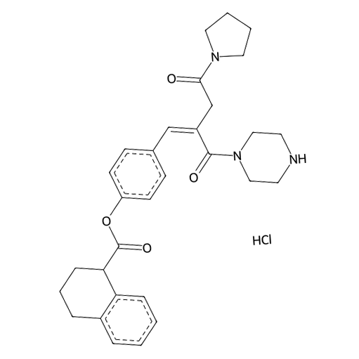 Cl.O=C(Oc1ccc(C=C(CC(=O)N2CCCC2)C(=O)N2CCNCC2)cc1)C1CCCc2ccccc21